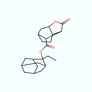 CCC1(OC(=O)C2C3CCC4C(C3)OC(=O)C42)C2CC3CC(C2)CC1C3